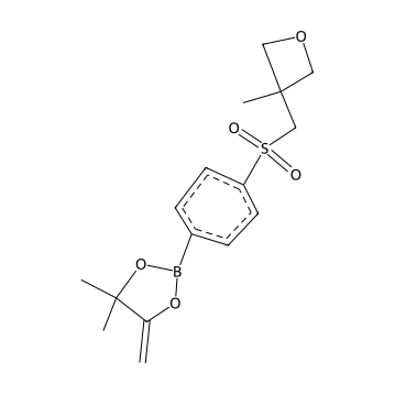 C=C1OB(c2ccc(S(=O)(=O)CC3(C)COC3)cc2)OC1(C)C